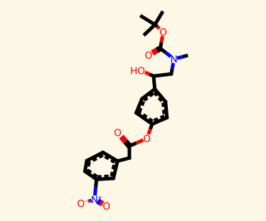 CN(CC(O)c1ccc(OC(=O)Cc2cccc([N+](=O)[O-])c2)cc1)C(=O)OC(C)(C)C